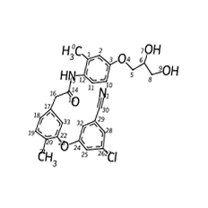 Cc1cc(OCC(O)CO)ccc1NC(=O)Cc1ccc(C)c(Oc2cc(Cl)cc(C#N)c2)c1